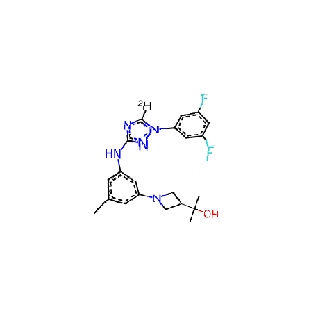 [2H]c1nc(Nc2cc(C)cc(N3CC(C(C)(C)O)C3)c2)nn1-c1cc(F)cc(F)c1